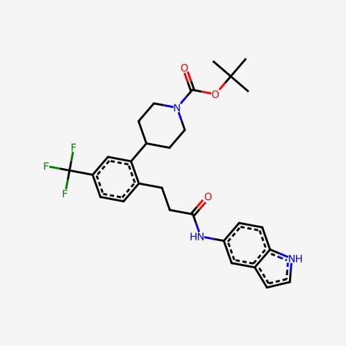 CC(C)(C)OC(=O)N1CCC(c2cc(C(F)(F)F)ccc2CCC(=O)Nc2ccc3[nH]ccc3c2)CC1